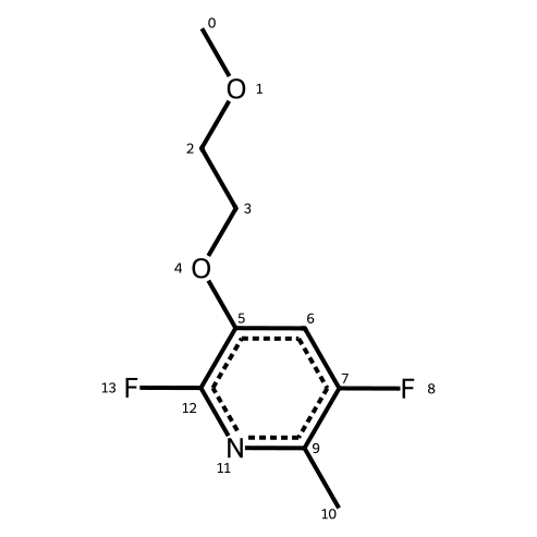 COCCOc1cc(F)c(C)nc1F